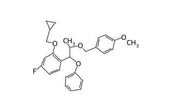 COc1ccc(COC(C)C(Oc2ccccc2)c2ccc(F)cc2OCC2CC2)cc1